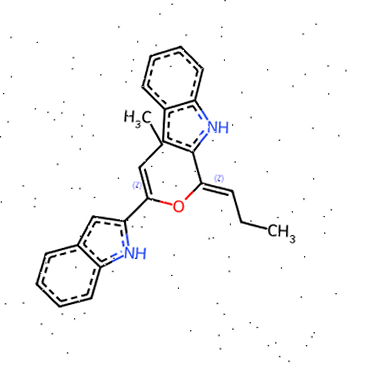 CC/C=C(\O/C(=C\CC)c1cc2ccccc2[nH]1)c1cc2ccccc2[nH]1